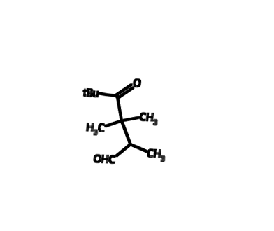 CC(C=O)C(C)(C)C(=O)C(C)(C)C